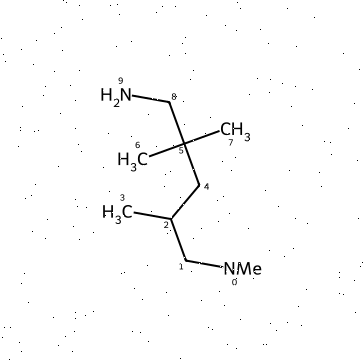 CNCC(C)CC(C)(C)CN